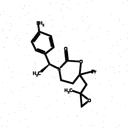 Bc1ccc([C@H](C)N2CCC(CC3(C)CO3)(C(C)C)OC2=O)cc1